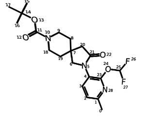 Cc1ccc(N2CC3(CCN(C(=O)OC(C)(C)C)CC3)CC2=O)c(OC(F)F)n1